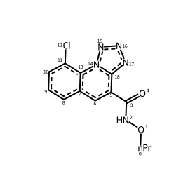 CCCONC(=O)c1cc2cccc(Cl)c2n2nnnc12